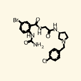 NC(=O)Nc1ccc(Br)cc1C(=O)NCC(=O)N[C@@H]1CCN(Cc2ccc(Cl)cc2)C1